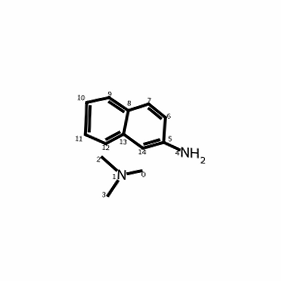 CN(C)C.Nc1ccc2ccccc2c1